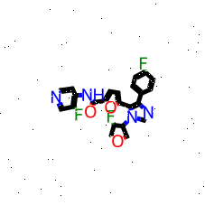 O=C(Nc1ccncc1F)c1ccc(-c2c(-c3ccc(F)cc3)ncn2C2COCC2F)o1